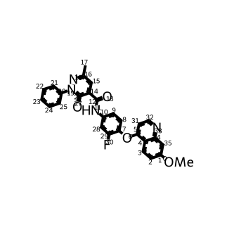 COc1ccc2c(Oc3ccc(NC(=O)c4cc(C)nn(-c5ccccc5)c4=O)cc3F)ccnc2c1